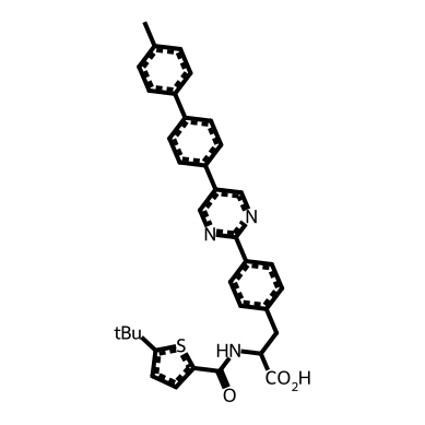 Cc1ccc(-c2ccc(-c3cnc(-c4ccc(CC(NC(=O)c5ccc(C(C)(C)C)s5)C(=O)O)cc4)nc3)cc2)cc1